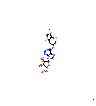 CCC(Cc1sccc1Cl)Nc1ncnc2c1ncn2[C@@H]1O[C@H](CO)[C@@H](O)[C@H]1O